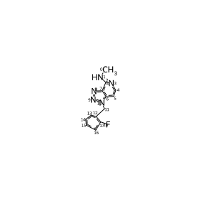 CNc1nccc2c1nnn2Cc1ccccc1F